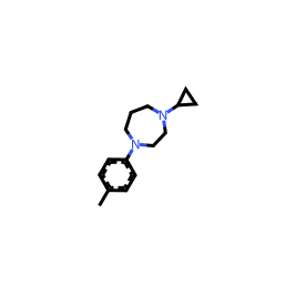 Cc1ccc(N2CCCN(C3CC3)CC2)cc1